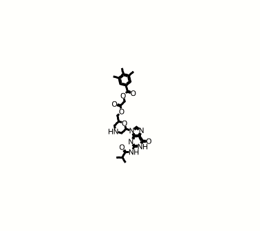 Cc1cc(C(=O)OCC(=O)OCC2CNCC(n3cnc4c(=O)[nH]c(NC(=O)C(C)C)nc43)O2)cc(C)c1C